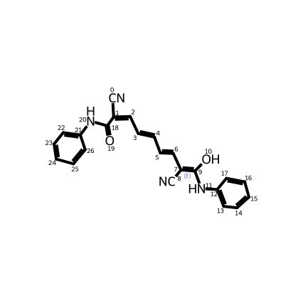 N#CC(=CC=CC=C/C(C#N)=C(\O)Nc1ccccc1)C(=O)Nc1ccccc1